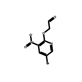 O=CCOc1ncc(Br)cc1[N+](=O)[O-]